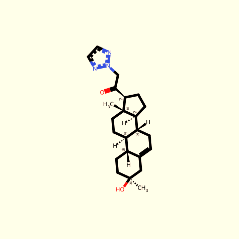 C[C@]1(O)CC[C@H]2C(=CC[C@@H]3[C@@H]2CC[C@]2(C)[C@@H](C(=O)Cn4nccn4)CC[C@@H]32)C1